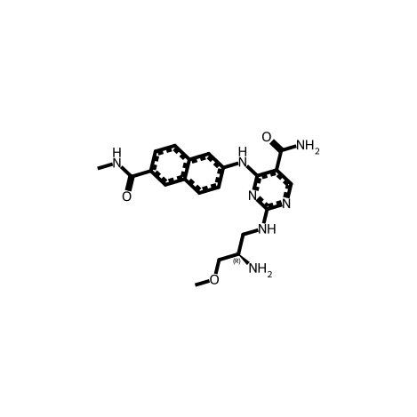 CNC(=O)c1ccc2cc(Nc3nc(NC[C@@H](N)COC)ncc3C(N)=O)ccc2c1